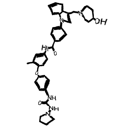 Cc1cc(NC(=O)c2ccc(-n3cc(CN4CCC(O)CC4)c4ccccc43)cc2)ccc1Oc1ccc(NC(=O)NN2CCCC2)cc1